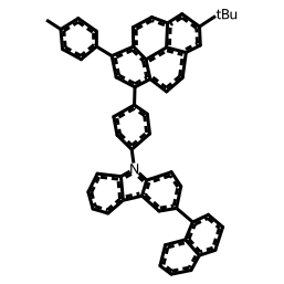 Cc1ccc(-c2cc(-c3ccc(-n4c5ccccc5c5cc(-c6cccc7ccccc67)ccc54)cc3)c3ccc4cc(C(C)(C)C)cc5ccc2c3c54)cc1